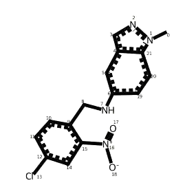 Cn1ncc2cc(NCc3ccc(Cl)cc3[N+](=O)[O-])ccc21